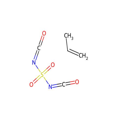 C=CC.O=C=NS(=O)(=O)N=C=O